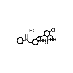 Cl.O=C1NCc2c(Cl)ccc(-c3cc4cc(CNc5ccccc5)ccc4[nH]3)c21